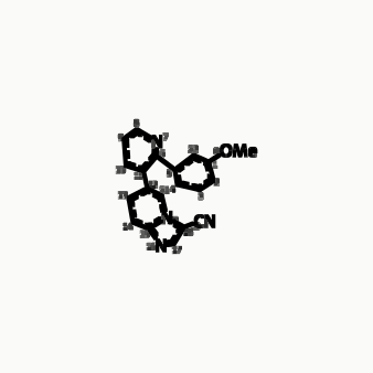 COc1cccc(-c2ncccc2-c2ccc3ncc(C#N)n3c2)c1